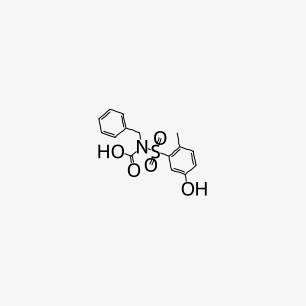 Cc1ccc(O)cc1S(=O)(=O)N(Cc1ccccc1)C(=O)O